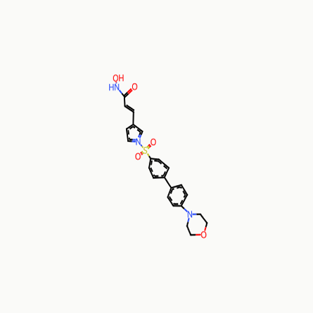 O=C(/C=C/c1ccn(S(=O)(=O)c2ccc(-c3ccc(N4CCOCC4)cc3)cc2)c1)NO